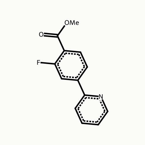 COC(=O)c1ccc(-c2ccccn2)cc1F